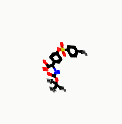 Cc1ccc(S(=O)(=O)Oc2ccc(C(NC(=O)OC(C)(C)C)C(=O)O)cc2)cc1